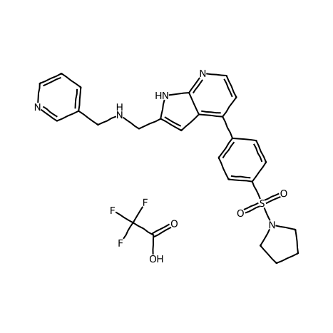 O=C(O)C(F)(F)F.O=S(=O)(c1ccc(-c2ccnc3[nH]c(CNCc4cccnc4)cc23)cc1)N1CCCC1